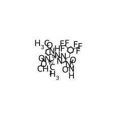 CCOC(=O)N1c2ccc(OC)nc2[C@@H](Nc2ncc(N3C(=O)CNC3=O)c(Cc3cc(C(F)(F)F)cc(C(F)(F)F)c3)n2)C[C@H]1CC